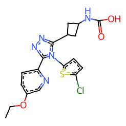 CCOc1ccc(-c2nnc(C3CC(NC(=O)O)C3)n2-c2ccc(Cl)s2)nc1